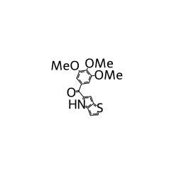 COc1cc(C(=O)c2cc3sccc3[nH]2)cc(OC)c1OC